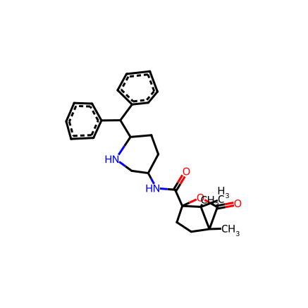 CC12CCC(C(=O)NC3CCC(C(c4ccccc4)c4ccccc4)NC3)(OC1=O)C2(C)C